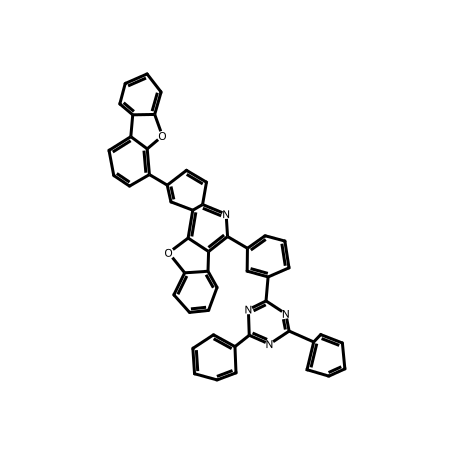 c1ccc(-c2nc(-c3ccccc3)nc(-c3cccc(-c4nc5ccc(-c6cccc7c6oc6ccccc67)cc5c5oc6ccccc6c45)c3)n2)cc1